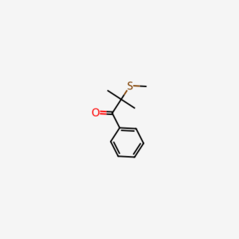 CSC(C)(C)C(=O)c1ccccc1